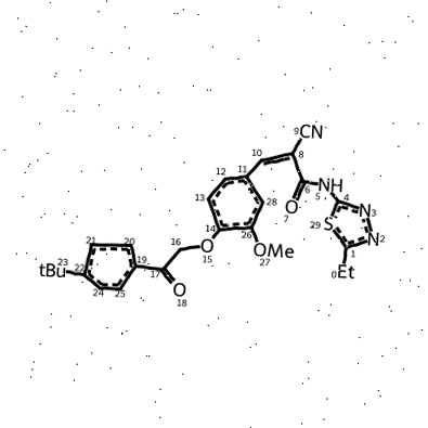 CCc1nnc(NC(=O)C(C#N)=Cc2ccc(OCC(=O)c3ccc(C(C)(C)C)cc3)c(OC)c2)s1